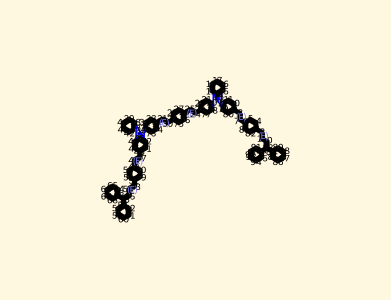 C(/C=C/c1ccc(/C=C/c2ccc(N(c3ccccc3)c3ccc(/C=C/c4ccc(/C=C/c5ccc(N(c6ccccc6)c6ccc(/C=C/c7ccc(/C=C/C=C(c8ccccc8)c8ccccc8)cc7)cc6)cc5)cc4)cc3)cc2)cc1)=C(c1ccccc1)c1ccccc1